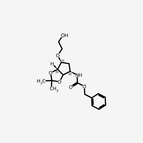 CC1(C)OC2[C@H](NC(=O)OCc3ccccc3)C[C@H](OCCO)[C@H]2O1